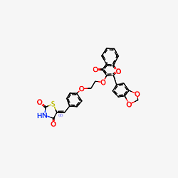 O=C1NC(=O)/C(=C/c2ccc(OCCOc3c(-c4ccc5c(c4)OCO5)oc4ccccc4c3=O)cc2)S1